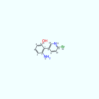 Nc1cccc(O)c1-c1ccc(Br)nc1